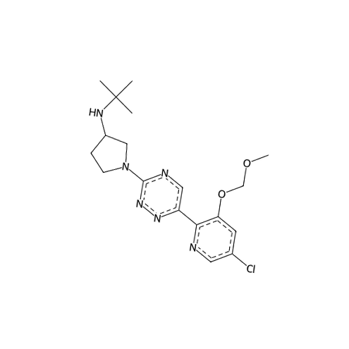 COCOc1cc(Cl)cnc1-c1cnc(N2CCC(NC(C)(C)C)C2)nn1